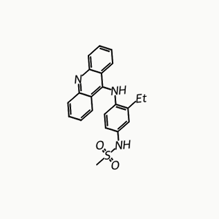 CCc1cc(NS(C)(=O)=O)ccc1Nc1c2ccccc2nc2ccccc12